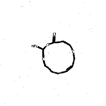 CCCC1CCCC/C=C\CCCCC(=O)O1